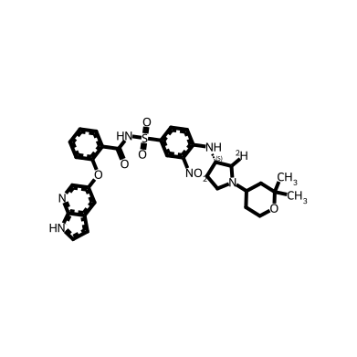 [2H]C1[C@@H](Nc2ccc(S(=O)(=O)NC(=O)c3ccccc3Oc3cnc4[nH]ccc4c3)cc2[N+](=O)[O-])CCN1C1CCOC(C)(C)C1